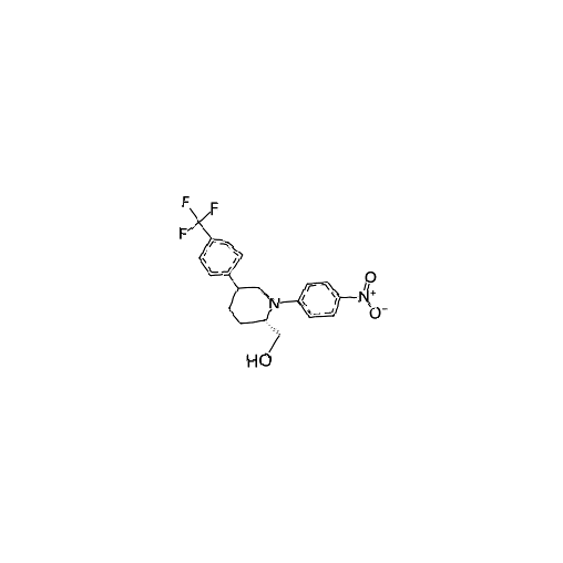 O=[N+]([O-])c1ccc(N2CC(c3ccc(C(F)(F)F)cc3)CC[C@H]2CO)cc1